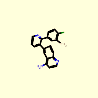 Cc1cc(-c2ncccc2-c2ccc3nccc(N)c3c2)ccc1F